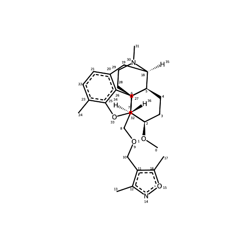 CO[C@]12CC[C@@]3(C[C@@H]1COCc1c(C)noc1C)[C@H]1Cc4ccc(C)c5c4[C@@]3(CCN1C)[C@H]2O5